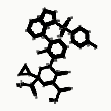 CNC(=O)C1=CC(C(N)=O)(C2CC2)CN(c2cccc(-c3cccc4ccn(S(=O)(=O)c5ccc(C)cc5)c34)c2C)C1=O